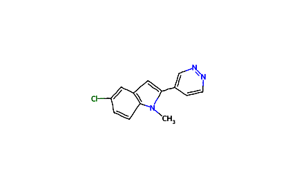 Cn1c(-c2ccnnc2)cc2cc(Cl)ccc21